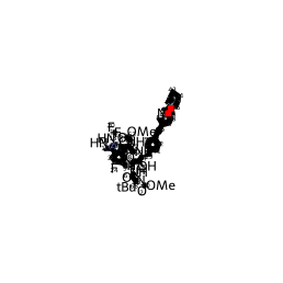 COC(=O)N[C@H](C(=O)NN(Cc1ccc(/C(C=N)=C/NC(F)F)cc1F)C[C@H](O)[C@H](Cc1ccc(C#Cc2ccc(N3CC4CCC(C3)N4C3COC3)nc2)cc1)NC(=O)[C@@H](NC(=O)OC)C(C)(C)C(F)(F)F)C(C)(C)C